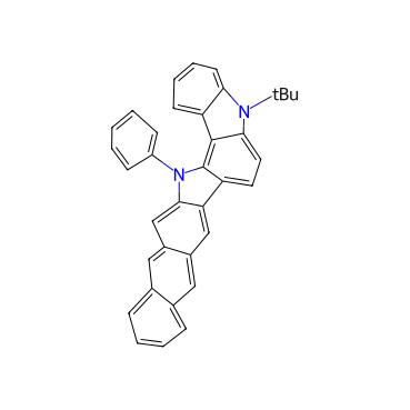 CC(C)(C)n1c2ccccc2c2c3c(ccc21)c1cc2cc4ccccc4cc2cc1n3-c1ccccc1